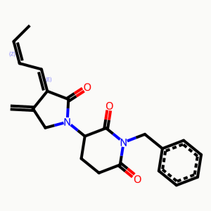 C=C1CN(C2CCC(=O)N(Cc3ccccc3)C2=O)C(=O)/C1=C/C=C\C